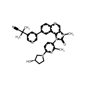 Cc1nc(N2CC[C@@H](O)C2)ccc1-n1c(=O)n(C)c2cnc3ccc(-c4cncc(C(C)(C)C#N)c4)cc3c21